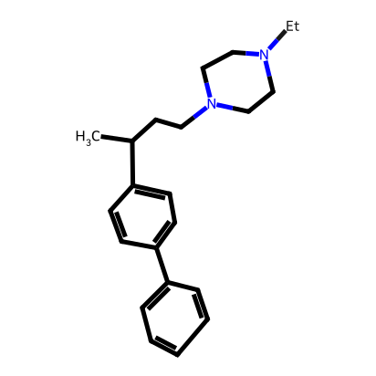 CCN1CCN(CCC(C)c2ccc(-c3ccccc3)cc2)CC1